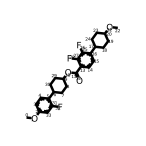 COc1ccc(C2CCC(OC(=O)c3ccc(C4CCC(OC)CC4)c(F)c3F)CC2)c(F)c1